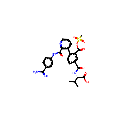 CC(C)[C@H](NC(=O)c1ccc(-c2cccnc2C(=O)Nc2ccc(C(=N)N)cc2)c(C(=O)OS(C)(=O)=O)c1)C(=O)O